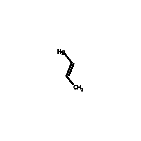 CC=[CH][Hg]